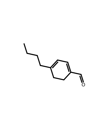 CCCCC1=CC=C(C=O)CC1